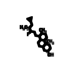 CC1CCC2C(CCC3C[C@@H](O)CCC32C)C1CCC(F)[C@H](C)CC1CC1